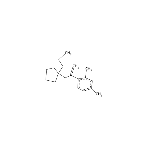 C=C(CC1(CCC)CCCC1)c1ccc(C)cc1C